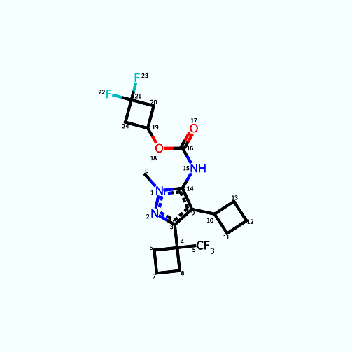 Cn1nc(C2(C(F)(F)F)CCC2)c(C2CCC2)c1NC(=O)OC1CC(F)(F)C1